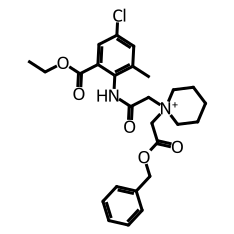 CCOC(=O)c1cc(Cl)cc(C)c1NC(=O)C[N+]1(CC(=O)OCc2ccccc2)CCCCC1